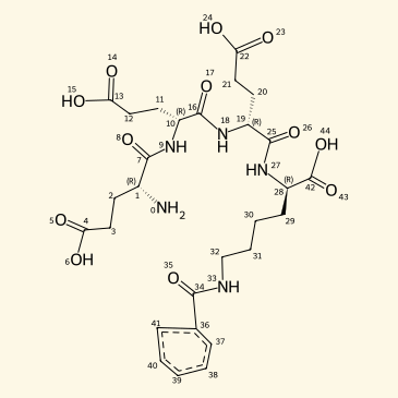 N[C@H](CCC(=O)O)C(=O)N[C@H](CCC(=O)O)C(=O)N[C@H](CCC(=O)O)C(=O)N[C@H](CCCCNC(=O)c1ccccc1)C(=O)O